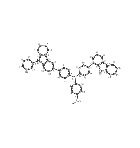 COc1ccc(N(c2ccc(-c3ccc4c(c3)c3ccccc3n4-c3ccccc3)cc2)c2ccc(-c3cccc4c3oc3ccccc34)cc2)cc1